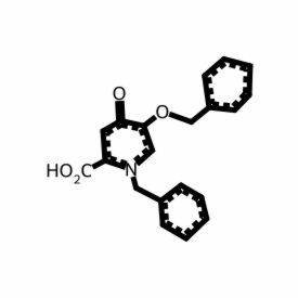 O=C(O)c1cc(=O)c(OCc2ccccc2)cn1Cc1ccccc1